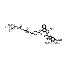 CCC(CO)OC(COC(=O)CCCC(=O)NCCN1CCN(C(=O)Oc2cc3c(c4ccccc24)[C@H](CCl)CN3C(=O)c2cc3cc(OC)c(OC)c(OC)c3[nH]2)CC1)OC